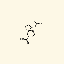 CC(C)CC1CCCC12CN(C(=O)O)CCO2